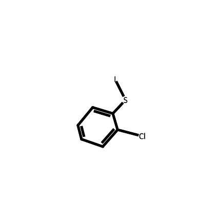 Clc1ccccc1SI